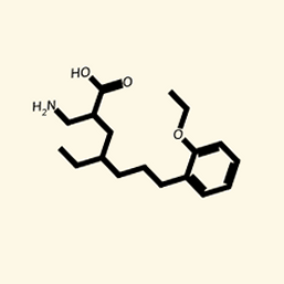 CCOc1ccccc1CCCC(CC)CC(CN)C(=O)O